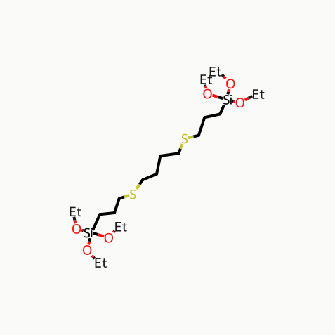 CCO[Si](CCCSCCCCSCCC[Si](OCC)(OCC)OCC)(OCC)OCC